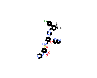 CC1(C)CCC(CN2CCN(c3ccc(C(=O)NS(=O)(=O)c4ccc(NC5CCNCC5)c([N+](=O)[O-])c4)c(Oc4cnc5[nH]ccc5c4)c3)CC2)=C(c2ccc(Cl)cc2)C1